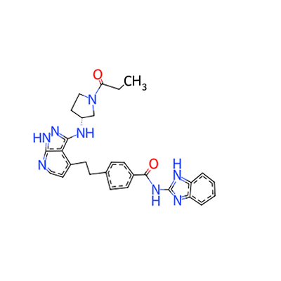 CCC(=O)N1CC[C@@H](Nc2n[nH]c3nccc(CCc4ccc(C(=O)Nc5nc6ccccc6[nH]5)cc4)c23)C1